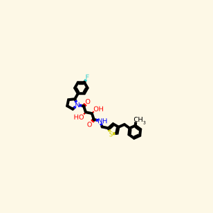 Cc1ccccc1Cc1csc(CNC(=O)[C@H](O)[C@@H](O)C(=O)N2CCCC2c2ccc(F)cc2)c1